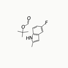 CC(C)(C)OC=O.Cc1cc2cc(F)ccc2[nH]1